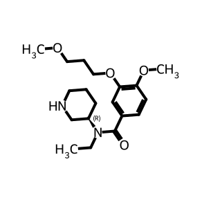 CCN(C(=O)c1ccc(OC)c(OCCCOC)c1)[C@@H]1CCCNC1